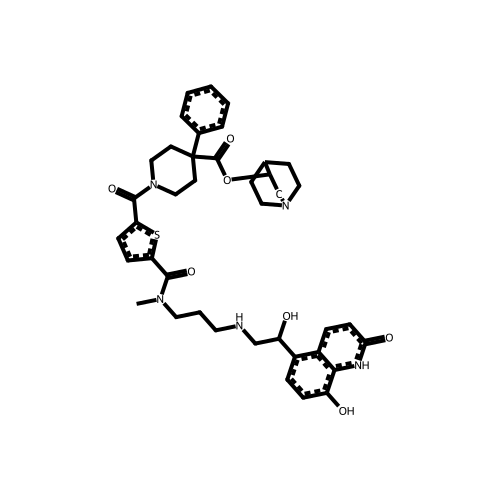 CN(CCCNCC(O)c1ccc(O)c2[nH]c(=O)ccc12)C(=O)c1ccc(C(=O)N2CCC(C(=O)OC3CN4CCC3CC4)(c3ccccc3)CC2)s1